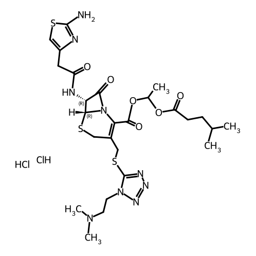 CC(C)CCC(=O)OC(C)OC(=O)C1=C(CSc2nnnn2CCN(C)C)CS[C@@H]2[C@H](NC(=O)Cc3csc(N)n3)C(=O)N12.Cl.Cl